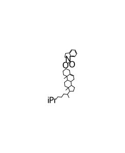 CC(C)CCCC(C)C1CCC2C3CC=C4CC(OC(=O)N5CCc6ccccc65)CCC4(C)C3CCC12C